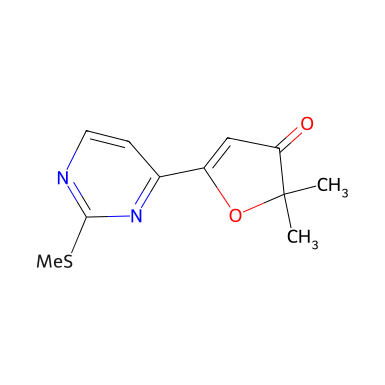 CSc1nccc(C2=CC(=O)C(C)(C)O2)n1